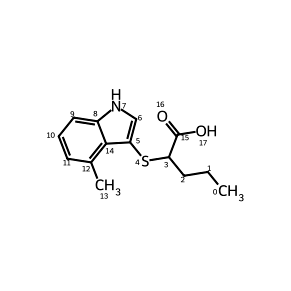 CCCC(Sc1c[nH]c2cccc(C)c12)C(=O)O